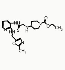 CCOC(=O)N1CCC(NCC(=S)Nc2cccnc2NCc2cnc(C)o2)CC1